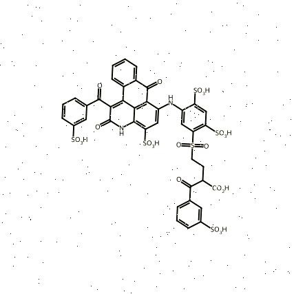 O=C(c1cccc(S(=O)(=O)O)c1)c1c2c3c(c(Nc4cc(S(=O)(=O)CCC(C(=O)O)C(=O)c5cccc(S(=O)(=O)O)c5)c(S(=O)(=O)O)cc4S(=O)(=O)O)cc(S(=O)(=O)O)c3[nH]c1=O)C(=O)c1ccccc1-2